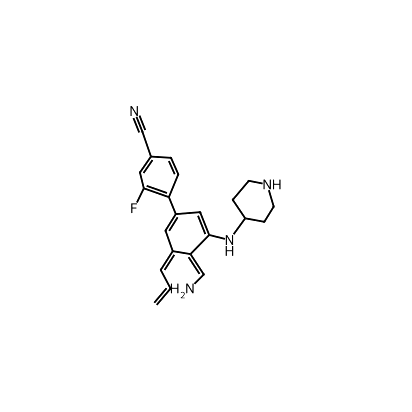 C=C/C=c1/cc(-c2ccc(C#N)cc2F)cc(NC2CCNCC2)/c1=C/N